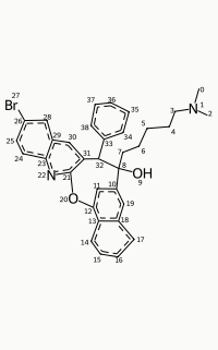 CN(C)CCCCCC1(O)c2cc(c3ccccc3c2)Oc2nc3ccc(Br)cc3cc2C1c1ccccc1